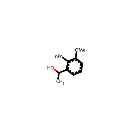 CCCc1c(OC)cccc1C(C)O